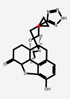 O=C1CC[C@@]2(OCCc3nn[nH]n3)[C@H]3Cc4ccc(O)c5c4[C@@]2(CCN3CC2CC2)C1O5